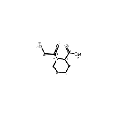 O=C(O)C1CCCCN1C(=O)CS